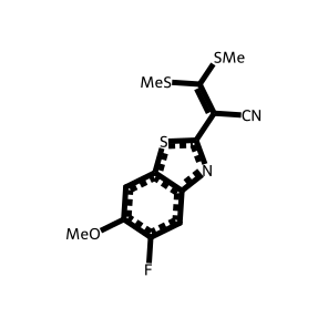 COc1cc2sc(C(C#N)=C(SC)SC)nc2cc1F